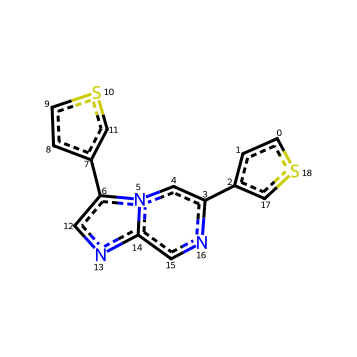 c1cc(-c2cn3c(-c4ccsc4)cnc3cn2)cs1